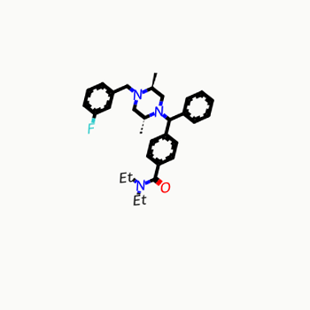 CCN(CC)C(=O)c1ccc(C(c2ccccc2)N2C[C@H](C)N(Cc3cccc(F)c3)C[C@H]2C)cc1